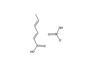 C/C=C/C=C/C(=O)O.O=[N+]([O-])O